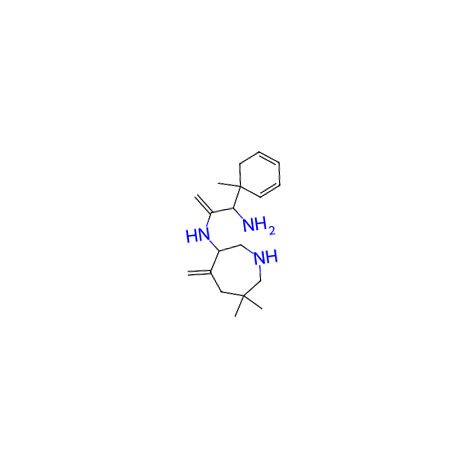 C=C1CC(C)(C)CNCC1NC(=C)C(N)C1(C)C=CC=CC1